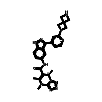 CC1=C(C(=O)Nc2ccc3[nH]nc(-c4ccnc(N5CC6(CNC6)C5)c4)c3c2)[C@@H](C)n2nnnc2N1C